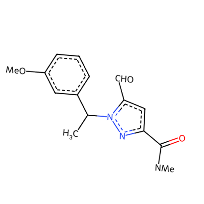 CNC(=O)c1cc(C=O)n(C(C)c2cccc(OC)c2)n1